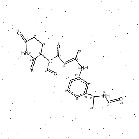 C/C(=C\C(=O)N(C=O)C1CCC(=O)NC1=O)Nc1cccc(C(C)NC=O)c1